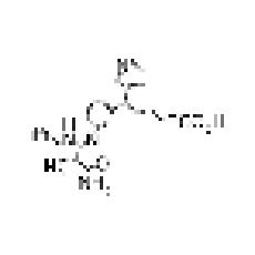 CC(C)CNC(=Nc1cccc(C(=CCCCC(=O)O)c2cccnc2)c1)C(C#N)C(N)=O